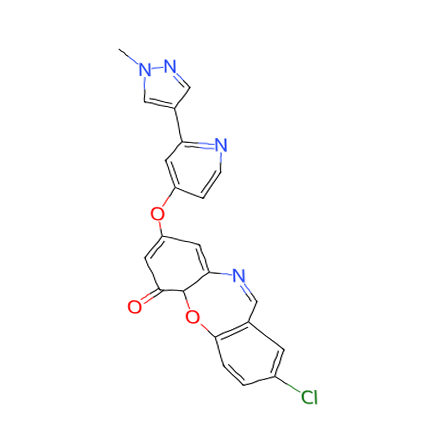 Cn1cc(-c2cc(OC3=CC(=O)C4Oc5ccc(Cl)cc5C=NC4=C3)ccn2)cn1